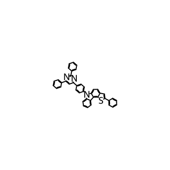 c1ccc(-c2cc(-c3ccc(-n4c5ccccc5c5c6sc(-c7ccccc7)cc6ccc54)cc3)nc(-c3ccccc3)n2)cc1